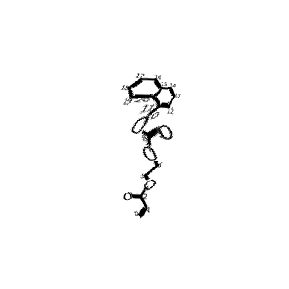 C=CC(=O)OCCOC(=O)Oc1cccc2ccccc12